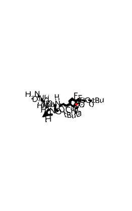 CCCC[C@H](NC(=O)/C=C(\C)c1ccc(C(F)(F)P(=O)(OCOC(=O)C(C)(C)C)OCOC(=O)C(C)(C)C)cc1)C(=O)N1C[C@H]2C[C@H]2[C@H]1C(=O)NCCNC(N)=O